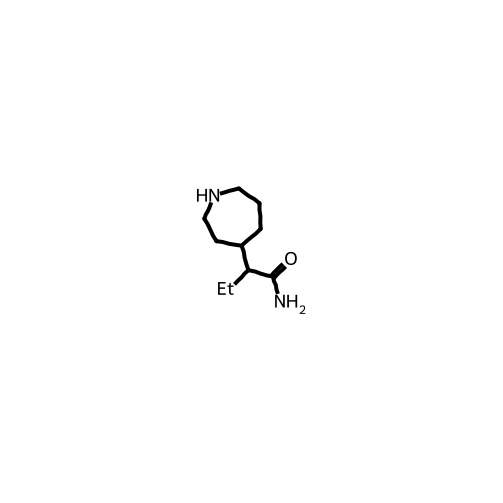 CCC(C(N)=O)C1CCCNCC1